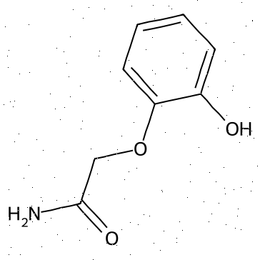 NC(=O)COc1ccccc1O